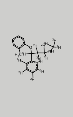 [2H]c1c([2H])c([2H])c(C([2H])(Oc2ccccc2C)C([2H])([2H])C([2H])([2H])NC([2H])([2H])[2H])c([2H])c1[2H]